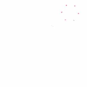 c1ccc(-c2ccc3ccccc3c2N(c2ccc3c(c2)Oc2ccccc2C32c3ccccc3-c3cccc4cccc2c34)c2cccc3ccccc23)cc1